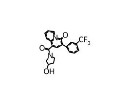 O=C(c1cc(-c2cccc(C(F)(F)F)c2)c(=O)n2ccccc12)N1CCC(O)C1